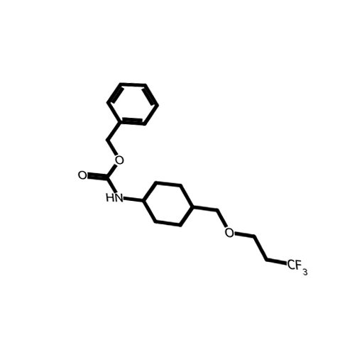 O=C(NC1CCC(COCCC(F)(F)F)CC1)OCc1ccccc1